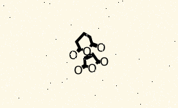 O=C1C=CC(=O)O1.O=C1CCCC(=O)O1